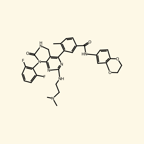 Cc1ccc(C(=O)Nc2ccc3c(c2)OCCO3)cc1-c1nc(NCCN(C)C)nc2c1CNC(=O)N2c1c(F)cccc1F